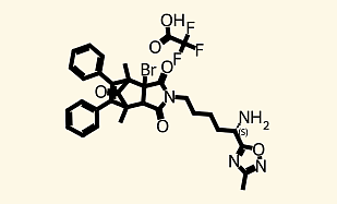 Cc1noc([C@@H](N)CCCCN2C(=O)C3C4(C)C(=O)C(C)(C(c5ccccc5)=C4c4ccccc4)C3(Br)C2=O)n1.O=C(O)C(F)(F)F